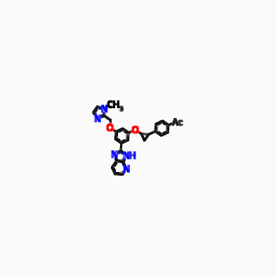 CC(=O)c1ccc(C2CC2Oc2cc(OCc3nccn3C)cc(-c3nc4cccnc4[nH]3)c2)cc1